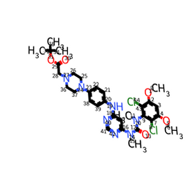 COc1cc(OC)c(Cl)c(N(C)C(=O)N(C)c2cc(Nc3ccc(N4CCN(CC(=O)OC(C)(C)C)CC4)cc3)ncn2)c1Cl